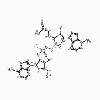 Nc1ncnc2c1ncn2[C@@H]1O[C@H](COP(=O)(O)OC2C(F)[C@@H](CO)O[C@H]2n2cnc3c(N)ncnc32)C(OC[PH](=O)O)C1F